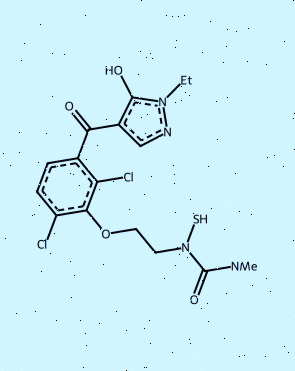 CCn1ncc(C(=O)c2ccc(Cl)c(OCCN(S)C(=O)NC)c2Cl)c1O